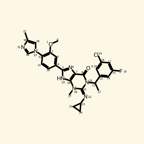 COc1cc(-c2nc3c(=O)n(C(C)c4cc(F)cc(Cl)c4)/c(=N/C4CC4)n(C)c3[nH]2)ccc1-n1cnc(C)c1